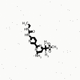 CCNC(=O)Nc1ccc(-c2nc(N)cc(C(C)(C)S(C)(=O)=O)n2)cn1